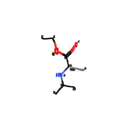 CCOC(=O)[C@H](C)NC(C)C